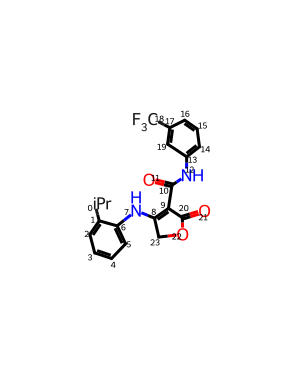 CC(C)c1ccccc1NC1=C(C(=O)Nc2cccc(C(F)(F)F)c2)C(=O)OC1